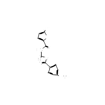 COc1ccc(-c2nnc(NC(=O)c3ccc(Br)s3)o2)cc1